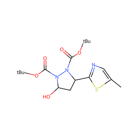 Cc1cnc(C2CC(O)N(C(=O)OC(C)(C)C)N2C(=O)OC(C)(C)C)s1